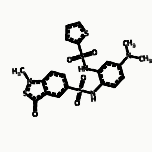 CN(C)c1ccc(NS(=O)(=O)c2ccc3c(c2)c(=O)sn3C)c(NS(=O)(=O)c2cccs2)c1